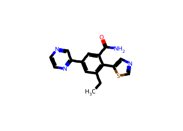 CCc1cc(-c2cnccn2)cc(C(N)=O)c1-c1cncs1